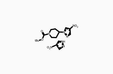 CC(C)(C)OC(=O)N1CCC(n2cc([N+](=O)[O-])cn2)CC1.O=[N+]([O-])c1cn[nH]c1